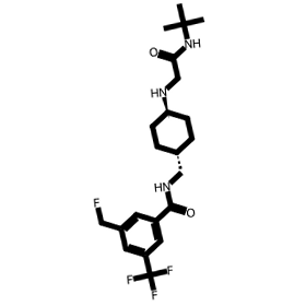 CC(C)(C)NC(=O)CN[C@H]1CC[C@H](CNC(=O)c2cc(CF)cc(C(F)(F)F)c2)CC1